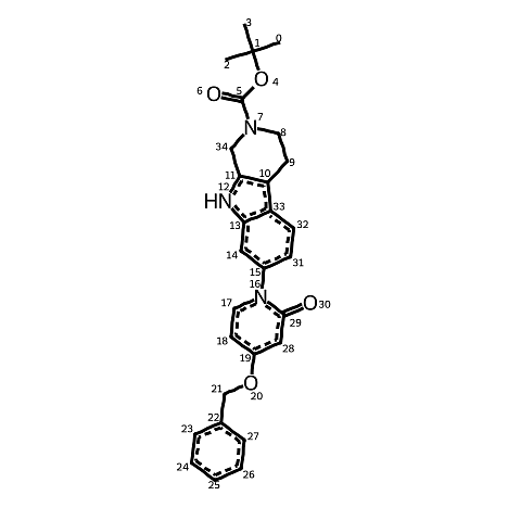 CC(C)(C)OC(=O)N1CCc2c([nH]c3cc(-n4ccc(OCc5ccccc5)cc4=O)ccc23)C1